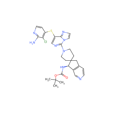 CC(C)(C)OC(=O)N[C@@H]1c2cnccc2CC12CCN(c1ncc(Sc3ccnc(N)c3Cl)c3nccn13)CC2